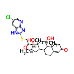 C[C@@H]1CC2C3CCC4=CC(=O)C=CC4(C)C3[C@@H](O)CC2(C)[C@@]1(O)C(=O)CSc1nc2ncc(Cl)cc2[nH]1